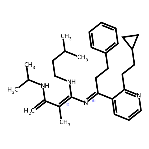 C=C(NC(C)C)/C(C)=C(/N=C(\CCc1ccccc1)c1cccnc1CCC1CC1)NCCC(C)C